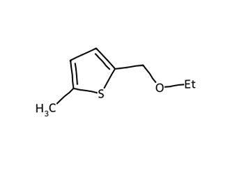 CCOCc1ccc(C)s1